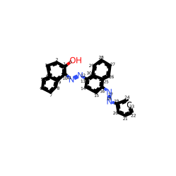 Oc1ccc2ccccc2c1N=Nc1ccc(N=Nc2ccccc2)c2ccccc12